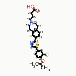 CC(C)Oc1ccc(-c2cnc(-c3ccc4c(c3)CCN(CCCC(=O)O)CC4)s2)cc1Cl